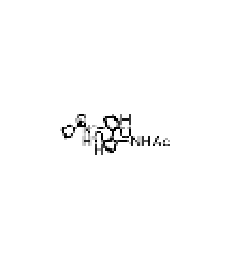 CC(=O)NCCc1cccc(O)c1-c1c(O)cccc1CCNC(=O)C1CCCC1